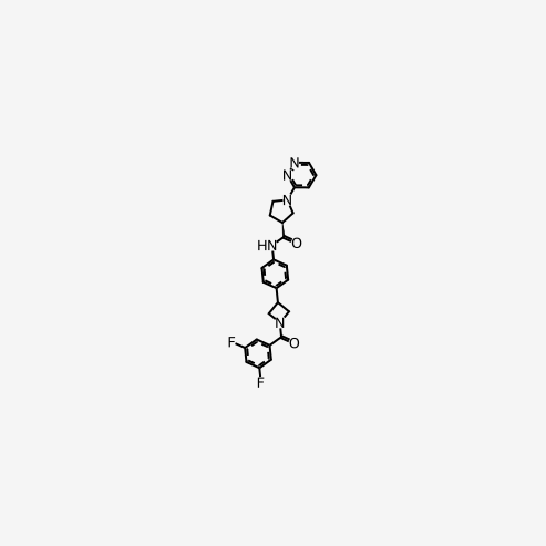 O=C(Nc1ccc(C2CN(C(=O)c3cc(F)cc(F)c3)C2)cc1)[C@H]1CCN(c2cccnn2)C1